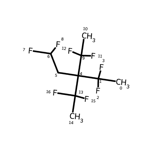 CC(F)(F)C(CC(F)F)(C(C)(F)F)C(C)(F)F